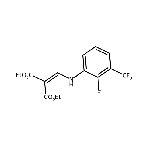 CCOC(=O)C(=CNc1cccc(C(F)(F)F)c1F)C(=O)OCC